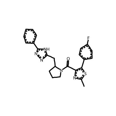 Cc1nc(C(=O)N2CCCC2Cc2nnc(-c3ccccc3)[nH]2)c(-c2ccc(F)cc2)s1